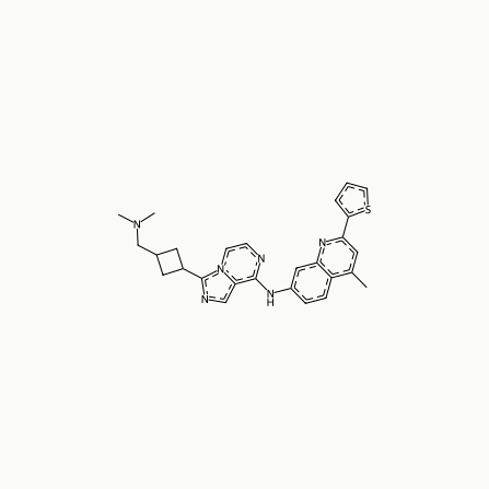 Cc1cc(-c2cccs2)nc2cc(Nc3nccn4c(C5CC(CN(C)C)C5)ncc34)ccc12